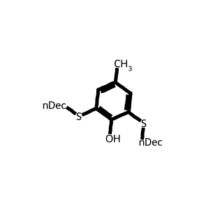 CCCCCCCCCCSc1cc(C)cc(SCCCCCCCCCC)c1O